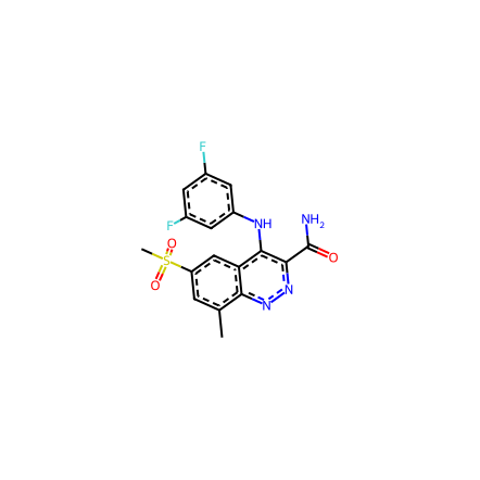 Cc1cc(S(C)(=O)=O)cc2c(Nc3cc(F)cc(F)c3)c(C(N)=O)nnc12